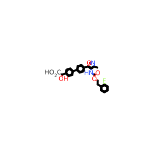 Cc1noc(-c2ccc(-c3ccc([C@@H](O)C(=O)O)cc3)cc2)c1NC(=O)OCCc1ccccc1F